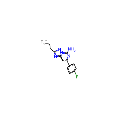 Nc1nc(-c2ccc(F)cc2)cc2nc(CCC(F)(F)F)nn12